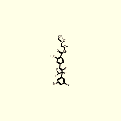 C[C@H](C[S+]([O-])CC(F)(F)F)NC(=O)c1ccc(/C=C(\F)C(F)(c2cc(Br)cc(Br)c2)C(F)F)cc1C(F)(F)F